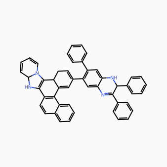 C1=CC2NC3=C(C4CC=C(c5cc6c(cc5-c5ccccc5)NC(c5ccccc5)C(c5ccccc5)=N6)C=C4c4c3ccc3ccccc43)N2C=C1